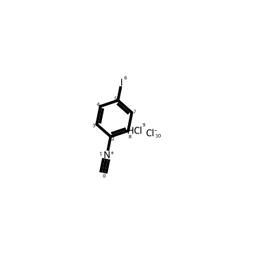 C#[N+]c1ccc(I)cc1.Cl.[Cl-]